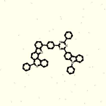 c1ccc(-c2nc(-c3ccc(-c4cccc5c4oc4c5ccc5c(-c6ccccc6)nc6ccccc6c54)cc3)nc(-c3ccc4c(c3)c3ccccc3n4-c3ccccc3)n2)cc1